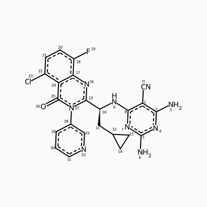 N#Cc1c(N)nc(N)nc1N[C@@H](CC1CC1)c1nc2c(F)ccc(Cl)c2c(=O)n1-c1cccnc1